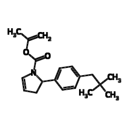 C=C(C)OC(=O)N1C=CCC1c1ccc(CC(C)(C)C)cc1